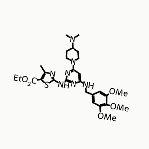 CCOC(=O)c1sc(Nc2nc(NCc3cc(OC)c(OC)c(OC)c3)cc(N3CCC(N(C)C)CC3)n2)nc1C